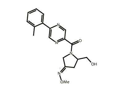 CO/N=C1\CC(CO)N(C(=O)c2cnc(-c3ccccc3C)cn2)C1